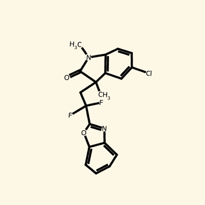 CN1C(=O)C(C)(CC(F)(F)c2nc3ccccc3o2)c2cc(Cl)ccc21